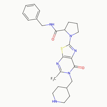 O=C(NCc1ccccc1)C1CCCN1c1nc2c(=O)n(CC3CCNCC3)c(C(F)(F)F)nc2s1